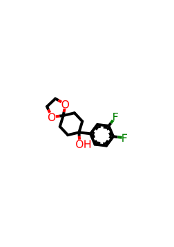 OC1(c2ccc(F)c(F)c2)CCC2(CC1)OCCO2